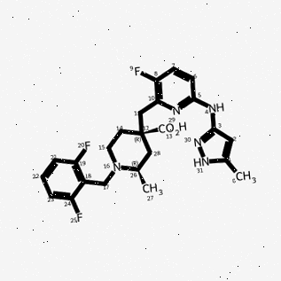 Cc1cc(Nc2ccc(F)c(C[C@@]3(C(=O)O)CCN(Cc4c(F)cccc4F)[C@H](C)C3)n2)n[nH]1